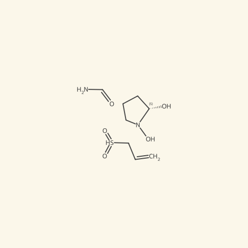 C=CC[SH](=O)=O.NC=O.O[C@H]1CCCN1O